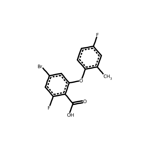 Cc1cc(F)ccc1Oc1cc(Br)cc(F)c1C(=O)O